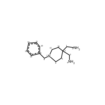 NCC1(CN)CCN(Cc2ccccc2)CC1